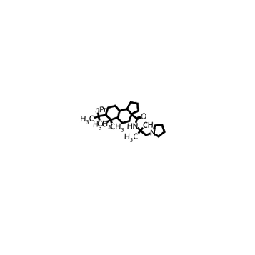 CCCC(C)(C)C1CCC2C3CCCC3(C(=O)NC(C)(C)CN3CCCC3)CCC2C1(C)C